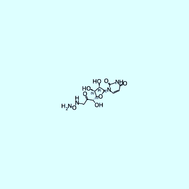 NONCC(=O)C(O)[C@H]1O[C@@H](n2ccc(=O)[nH]c2=O)[C@H](O)[C@@H]1O